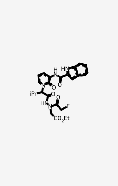 CCOC(=O)CN(NC(=O)C(C(C)C)n1cccc(NC(=O)c2cc3ccccc3[nH]2)c1=O)C(=O)CF